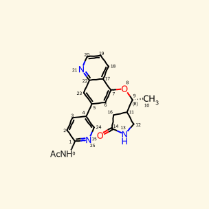 CC(=O)Nc1ccc(-c2cc(O[C@H](C)C3CNC(=O)C3)c3cccnc3c2)cn1